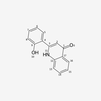 O=c1cc(-c2ccccc2O)[nH]c2ccccc12